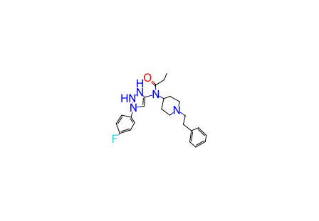 CCC(=O)N(C1=CN(c2ccc(F)cc2)NN1)C1CCN(CCc2ccccc2)CC1